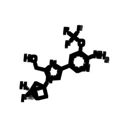 Nc1ncc(-c2cn(C34CC(C3)[C@@H](F)C4)c(CO)n2)cc1OC(F)(F)F